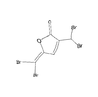 O=C1OC(=C(Br)Br)C=C1C(Br)Br